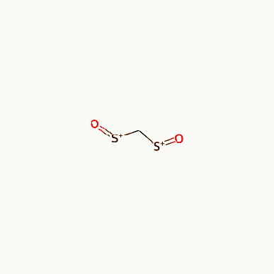 O=[S+]C[S+]=O